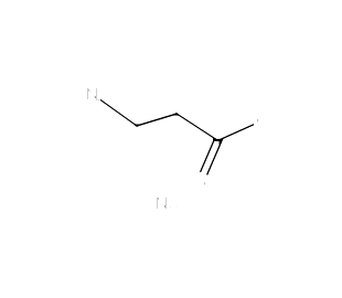 NCCC(=O)[O-].[Na+]